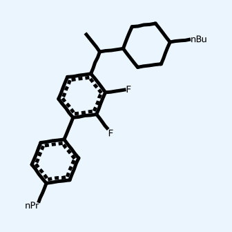 CCCCC1CCC(C(C)c2ccc(-c3ccc(CCC)cc3)c(F)c2F)CC1